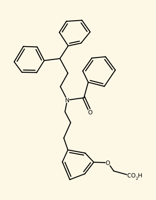 O=C(O)COc1cccc(CCCN(CCC(c2ccccc2)c2ccccc2)C(=O)c2ccccc2)c1